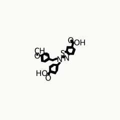 COc1ccc(CCN(Cc2ccc(C(=O)O)cc2)c2nc3ccc(C(=O)O)cc3s2)cc1